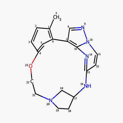 Cc1ccc2cc1-c1cnn3ccc(nc13)NC1CCN(CCO2)C1